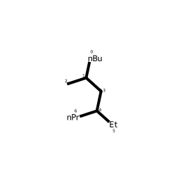 CCCCC(C)[CH]C(CC)CCC